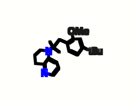 COc1cc(C(C)(C)C)ccc1CC(C)(C)N1CCCc2ncccc21